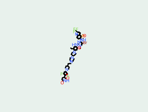 CCc1cc(Nc2ncc(Br)c(Nc3ccc4nc(C(F)(F)F)ccc4c3P(C)(C)=O)n2)c(OC)cc1N1CCC(N2CCN(CCC3CCN(c4cc(F)c(C5CCC(=O)NC5=O)c(F)c4)CC3)CC2)CC1